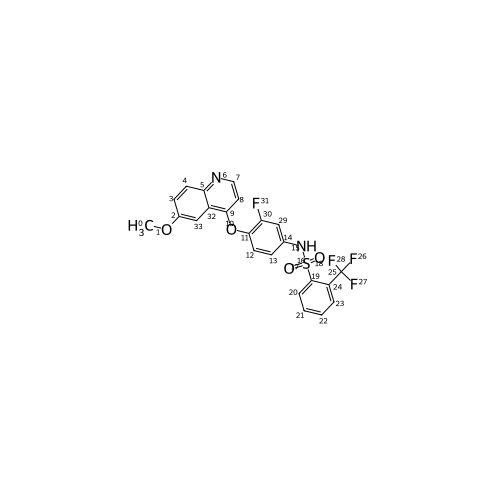 COc1ccc2nccc(Oc3ccc(NS(=O)(=O)c4ccccc4C(F)(F)F)cc3F)c2c1